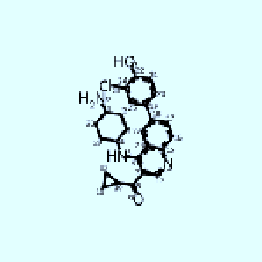 NC1CCC(Nc2c(C(=O)C3CC3)cnc3ccc(-c4ccc(O)c(Cl)c4)cc23)CC1